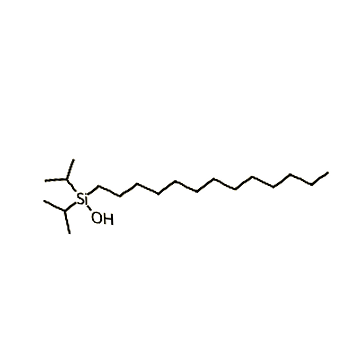 CCCCCCCCCCCCC[Si](O)(C(C)C)C(C)C